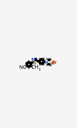 Cc1cc(C#N)ccc1-c1ncc(-c2ccc(N3CC[S+]([O-])CC3)cc2)s1